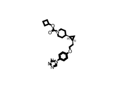 O=C(OC1CCC1)N1CCC([C@H]2C[C@H]2CCOc2ccc(-n3cnnn3)cc2)CC1